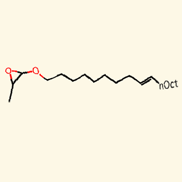 CCCCCCCCC=CCCCCCCCCOC1OC1C